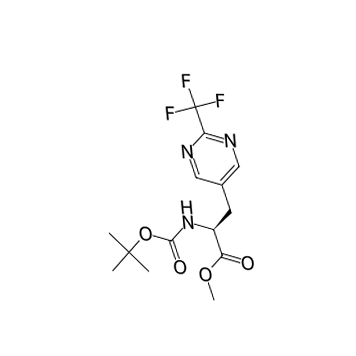 COC(=O)[C@H](Cc1cnc(C(F)(F)F)nc1)NC(=O)OC(C)(C)C